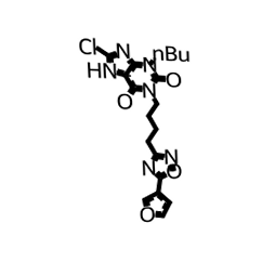 CCCCn1c(=O)n(CCCCc2noc(-c3ccoc3)n2)c(=O)c2[nH]c(Cl)nc21